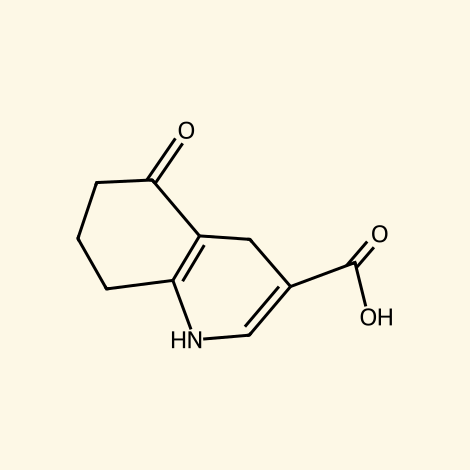 O=C(O)C1=CNC2=C(C1)C(=O)CCC2